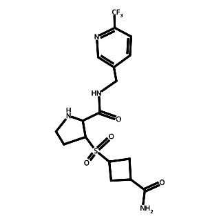 NC(=O)C1CC(S(=O)(=O)C2CCNC2C(=O)NCc2ccc(C(F)(F)F)nc2)C1